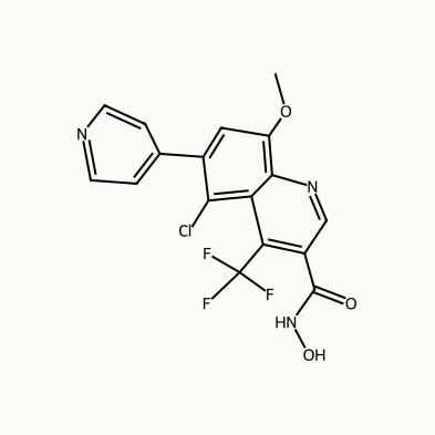 COc1cc(-c2ccncc2)c(Cl)c2c(C(F)(F)F)c(C(=O)NO)cnc12